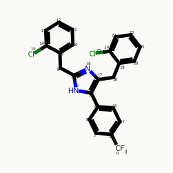 FC(F)(F)c1ccc(-c2[nH]c(Cc3ccccc3Cl)nc2Cc2ccccc2Cl)cc1